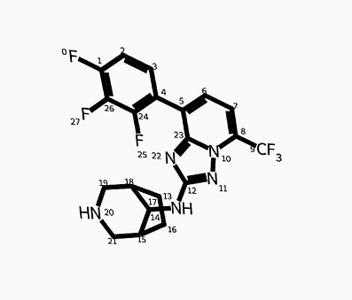 Fc1ccc(-c2ccc(C(F)(F)F)n3nc(NC4C5CCC4CNC5)nc23)c(F)c1F